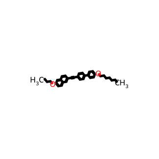 CCCCCCCOc1ccc(-c2ccc(C#Cc3ccc4cc(OCCCC)ccc4c3)cc2)cc1